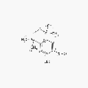 CCc1cc2c(cc1C=O)C(C)(C)CCC2(C)C